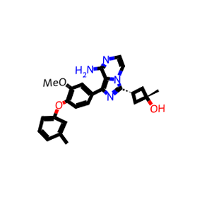 COc1cc(-c2nc([C@H]3C[C@@](C)(O)C3)n3ccnc(N)c23)ccc1Oc1cccc(C)c1